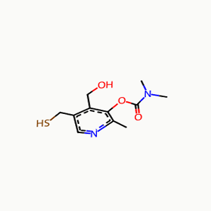 Cc1ncc(CS)c(CO)c1OC(=O)N(C)C